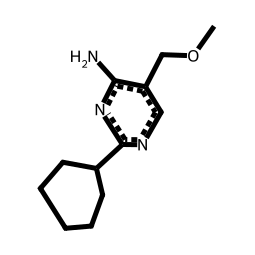 COCc1cnc(C2CCCCC2)nc1N